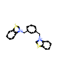 c1cc(C[n+]2csc3ccccc32)cc(C[n+]2csc3ccccc32)c1